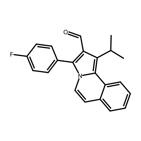 CC(C)c1c(C=O)c(-c2ccc(F)cc2)n2ccc3ccccc3c12